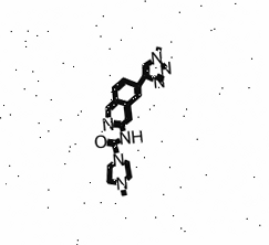 CN1CCN(C(=O)Nc2cc3cc(-c4cn(C)nn4)ccc3cn2)CC1